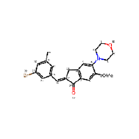 COc1cc2c(cc1N1CCOCC1)C/C(=C\c1cc(C)cc(Br)c1)C2=O